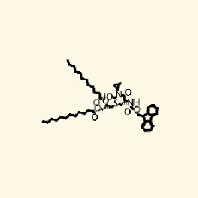 CCCCCCCCCCCC(=O)OC[C@H](CSC[C@H](NC(=O)OCC1c2ccccc2-c2ccccc21)C(=O)N(CO)C1CC1)OC(=O)CCCCCCCCCCC